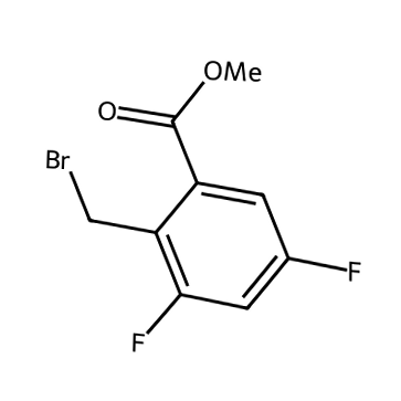 COC(=O)c1cc(F)cc(F)c1CBr